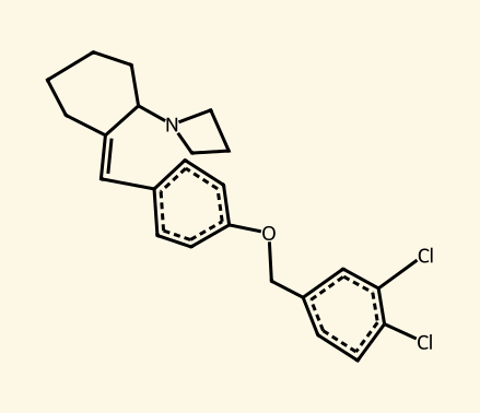 Clc1ccc(COc2ccc(/C=C3/CCCCC3N3CCC3)cc2)cc1Cl